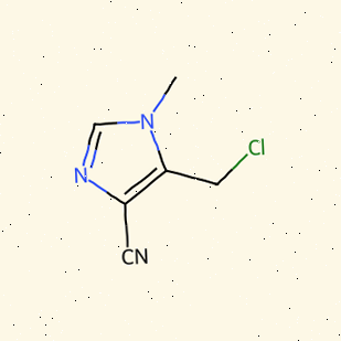 Cn1cnc(C#N)c1CCl